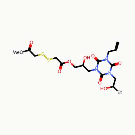 C=CCn1c(=O)n(CC(O)CC)c(=O)n(CC(O)COC(=O)CSSCC(=O)OC)c1=O